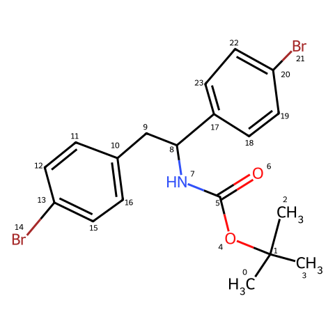 CC(C)(C)OC(=O)NC(Cc1ccc(Br)cc1)c1ccc(Br)cc1